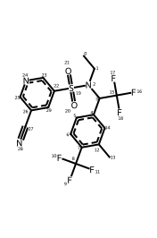 CCN(C(c1ccc(C(F)(F)F)c(C)c1)C(F)(F)F)S(=O)(=O)c1cncc(C#N)c1